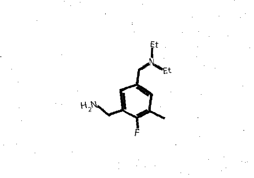 CCN(CC)Cc1cc(C)c(F)c(CN)c1